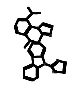 CC(C)c1cccc(C(C)C)c1-n1ccnc1-c1ccc2c3ccccc3n(-c3ncc[nH]3)c2c1